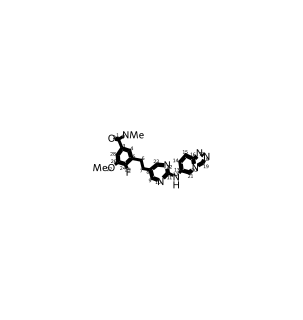 CNC(=O)c1cc(CCc2cnc(Nc3ccc4nncn4c3)nc2)c(F)c(OC)c1